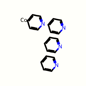 [Co].c1ccncc1.c1ccncc1.c1ccncc1.c1ccncc1